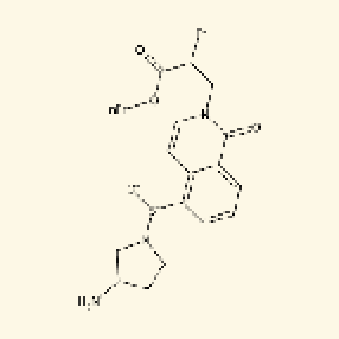 CCCOC(=O)C(CC)Cn1ccc2c([S+]([O-])N3CCC(N)C3)cccc2c1=O